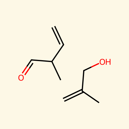 C=C(C)CO.C=CC(C)C=O